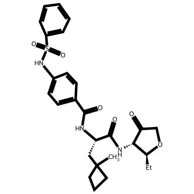 CC[C@@H]1OCC(=O)[C@H]1NC(=O)[C@H](CC1(C)CCC1)NC(=O)c1ccc(NS(=O)(=O)c2ccccc2)cc1